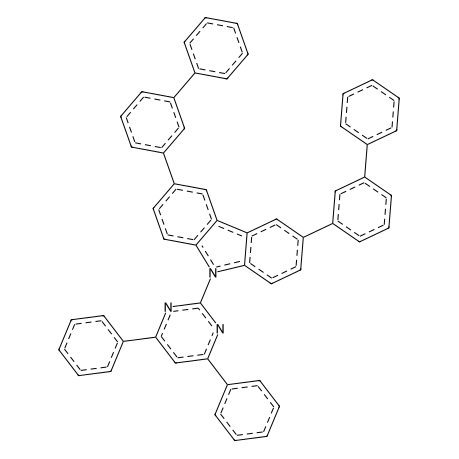 c1ccc(-c2cccc(-c3ccc4c(c3)c3cc(-c5cccc(-c6ccccc6)c5)ccc3n4-c3nc(-c4ccccc4)cc(-c4ccccc4)n3)c2)cc1